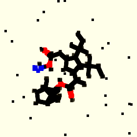 CCC(C)(C)C1C(CC(=O)ON)CC(C(C)C(=O)OC2CC3CCC2(C)C3(C)C)C1C(C)(C)CC